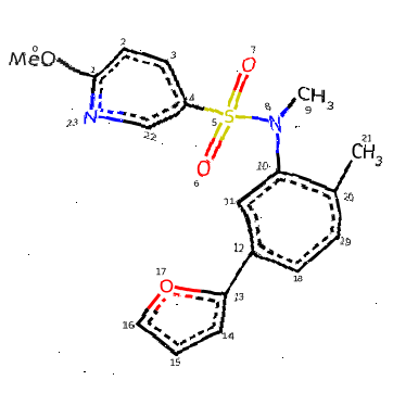 COc1ccc(S(=O)(=O)N(C)c2cc(-c3ccco3)ccc2C)cn1